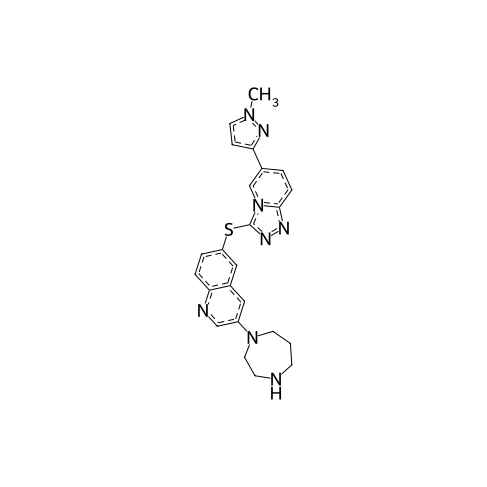 Cn1ccc(-c2ccc3nnc(Sc4ccc5ncc(N6CCCNCC6)cc5c4)n3c2)n1